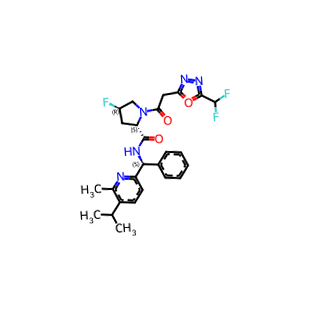 Cc1nc([C@@H](NC(=O)[C@@H]2C[C@@H](F)CN2C(=O)Cc2nnc(C(F)F)o2)c2ccccc2)ccc1C(C)C